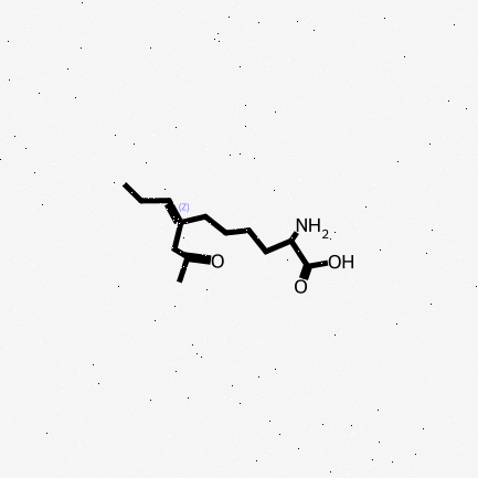 CC/C=C(/CCCCC(N)C(=O)O)CC(C)=O